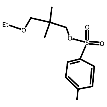 CCOCC(C)(C)COS(=O)(=O)c1ccc(C)cc1